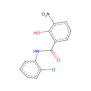 O=C(Nc1ccccc1Cl)c1cccc([N+](=O)[O-])c1O